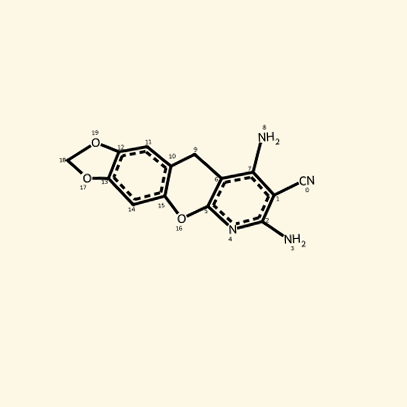 N#Cc1c(N)nc2c(c1N)Cc1cc3c(cc1O2)OCO3